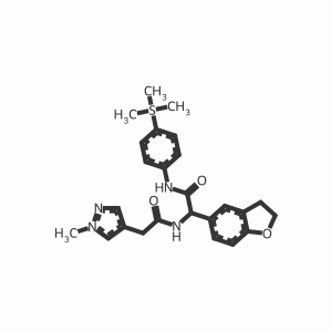 Cn1cc(CC(=O)NC(C(=O)Nc2ccc(S(C)(C)C)cc2)c2ccc3c(c2)CCO3)cn1